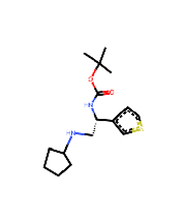 CC(C)(C)OC(=O)N[C@@H](CNC1CCCC1)c1ccsc1